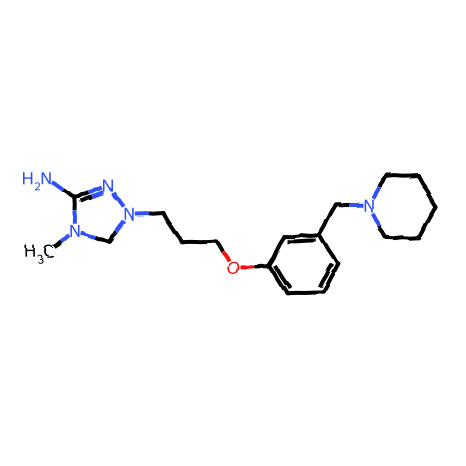 CN1CN(CCCOc2cccc(CN3CCCCC3)c2)N=C1N